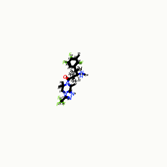 [2H]C([2H])(C(=O)N1C(C)c2nnc(C(F)(F)F)n2CC1(C)C)[C@](C)(NC)C([2H])([2H])c1cc(F)c(F)c(C)c1F